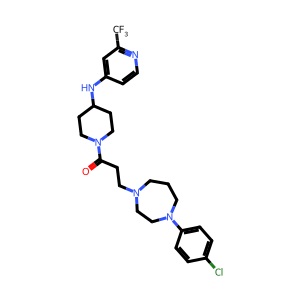 O=C(CCN1CCCN(c2ccc(Cl)cc2)CC1)N1CCC(Nc2ccnc(C(F)(F)F)c2)CC1